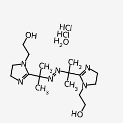 CC(C)(N=NC(C)(C)C1=NCCN1CCO)C1=NCCN1CCO.Cl.Cl.O